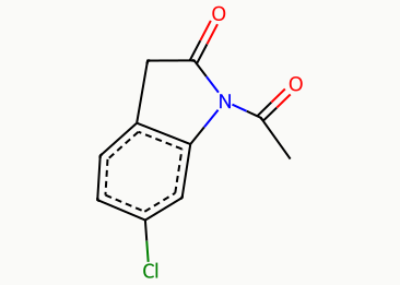 CC(=O)N1C(=O)Cc2ccc(Cl)cc21